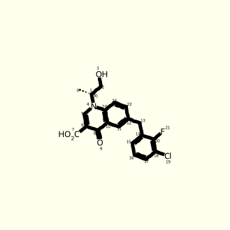 C[C@H](CO)n1cc(C(=O)O)c(=O)c2cc(Cc3cccc(Cl)c3F)ccc21